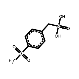 CS(=O)(=O)c1ccc(CP(=O)(O)O)cc1